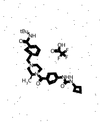 C[C@H]1CN(Cc2cccc(C(=O)NC(C)(C)C)c2)CCN1C(=O)c1ccc(NC(=O)NC2CCC2)cc1.O=C(O)C(F)(F)F